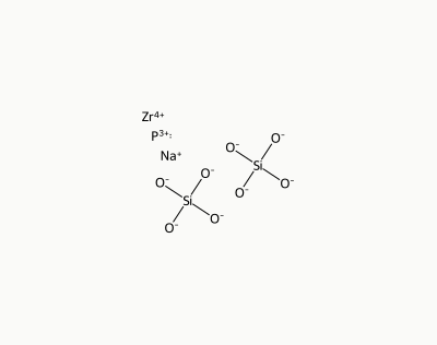 [Na+].[O-][Si]([O-])([O-])[O-].[O-][Si]([O-])([O-])[O-].[P+3].[Zr+4]